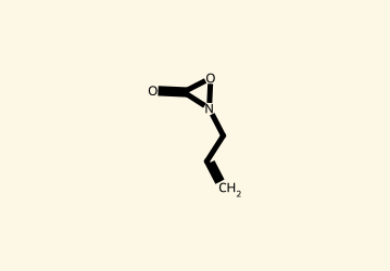 C=CCN1OC1=O